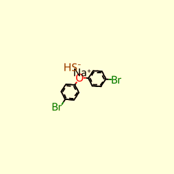 Brc1ccc(Oc2ccc(Br)cc2)cc1.[Na+].[SH-]